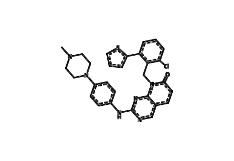 CN1CCN(c2ccc(Nc3ncc4ccc(=O)n(Cc5c(Cl)cccc5-c5cccs5)c4n3)cc2)CC1